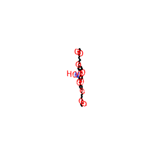 C=CC(=O)OCCCCCCOc1ccc(C(=O)Oc2ccc(OC(=O)c3ccc(OCCCCCCOC(=O)C=C)cc3)c(/C=N/O)c2)cc1